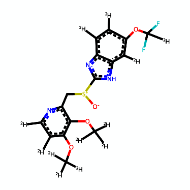 [2H]c1nc(C[S+]([O-])c2nc3c([2H])c([2H])c(OC([2H])(F)F)c([2H])c3[nH]2)c(OC([2H])([2H])[2H])c(OC([2H])([2H])[2H])c1[2H]